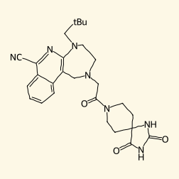 CC(C)(C)CN1CCN(CC(=O)N2CCC3(CC2)NC(=O)NC3=O)Cc2c1nc(C#N)c1ccccc21